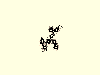 N#Cc1ccc2c(c1)c1ccccc1n2-c1ccc(N(c2ccc(-n3c4ccccc4c4cc(C#N)ccc43)cc2)c2ccc3sc4ccccc4c3c2)cc1